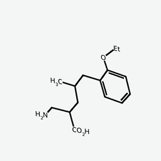 CCOc1ccccc1CC(C)CC(CN)C(=O)O